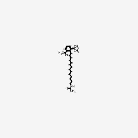 CC(=S)NCCCCCCCCCCCCCCc1c(C(C)C)cccc1C(C)C